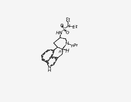 CCCN1CC(NS(=O)(=O)N(CC)CC)CC2c3cccc4[nH]cc(c34)C[C@H]21